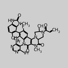 C=CC(=O)N1CC2C(=O)N(C)c3c(c4cc(F)c(-c5c(C)ccc6[nH]c(=O)n(C)c56)c(Cl)c4n(-c4c(C(C)C)ncnc4C(C)C)c3=O)N2CC1C